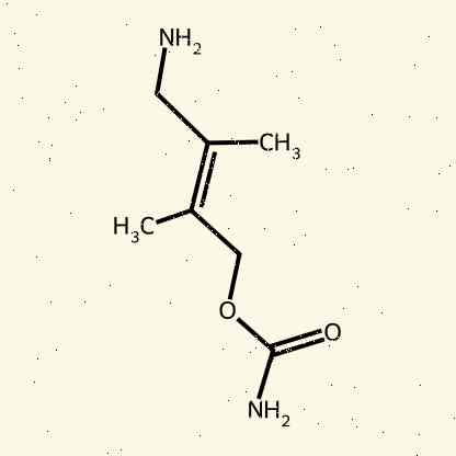 C/C(CN)=C(/C)COC(N)=O